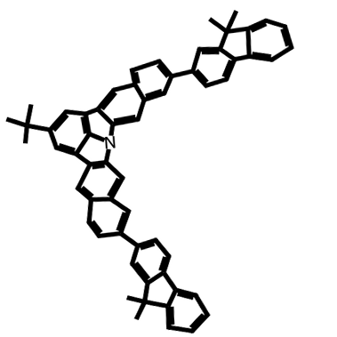 CC(C)(C)c1cc2c3cc4ccc(-c5ccc6c(c5)C(C)(C)c5ccccc5-6)cc4cc3n3c4cc5cc(-c6ccc7c(c6)C(C)(C)c6ccccc6-7)ccc5cc4c(c1)c23